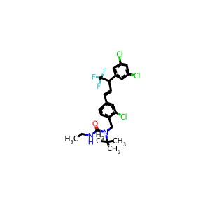 CCNC(=O)N(Cc1ccc(C=CC(c2cc(Cl)cc(Cl)c2)C(F)(F)F)cc1Cl)C(C)(C)C